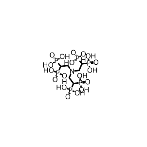 O=P(O)(O)C(CN(CC(P(=O)(O)O)P(=O)(O)O)CC(P(=O)(O)O)P(=O)(O)O)P(=O)(O)O